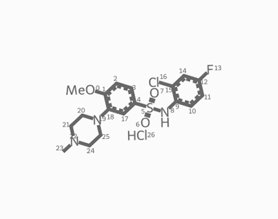 COc1ccc(S(=O)(=O)Nc2ccc(F)cc2Cl)cc1N1CCN(C)CC1.Cl